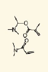 C=C(C)C(=O)OC(C)N(C)C.C=CC(=O)N(C)C